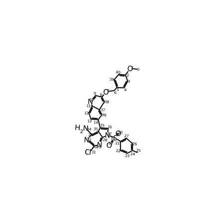 COc1ccc(COc2cnc3ccc(-c4cn(S(=O)(=O)c5ccc(C)cc5)c5nc(Cl)nc(N)c45)cc3c2)cc1